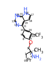 CC(C)C[C@](C)(N)COc1ccc(-c2ncnc3[nH]ccc23)cc1C(F)(F)F